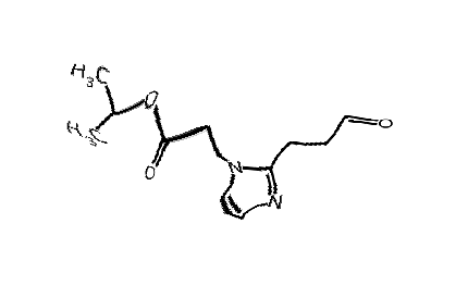 CC(C)OC(=O)Cn1ccnc1CCC=O